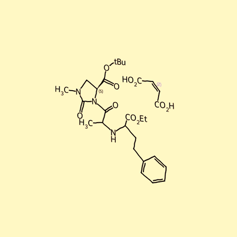 CCOC(=O)C(CCc1ccccc1)NC(C)C(=O)N1C(=O)N(C)C[C@H]1C(=O)OC(C)(C)C.O=C(O)/C=C\C(=O)O